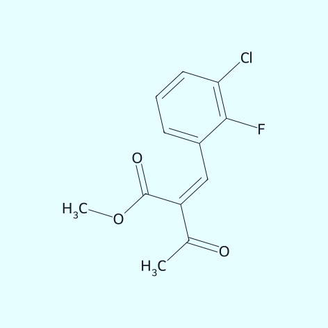 COC(=O)C(=Cc1cccc(Cl)c1F)C(C)=O